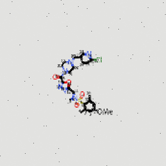 COc1cc(C)c(S(=O)(=O)N(C)Cc2nnc(C(=O)N3CCN(Cc4ccc(Cl)nc4)CC3)o2)c(C)c1